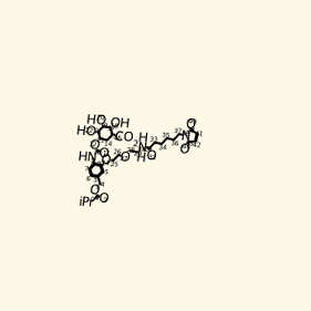 CC(C)C(=O)OCc1ccc(NC(=O)O[C@@H]2C[C@H](C(=O)O)[C@@H](O)[C@H](O)[C@H]2O)c(OCCOCCNC(=O)CCCCCN2C(=O)C=CC2=O)c1